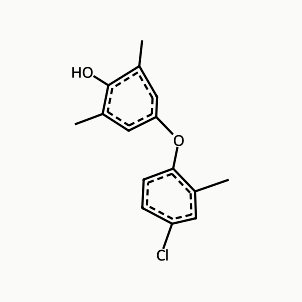 Cc1cc(Cl)ccc1Oc1cc(C)c(O)c(C)c1